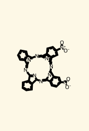 O=[N+]([O-])c1ccc2c(c1)C1=NC/2=N\C2N=C(/N=C3N=C(/N=c4\[nH]/c(c5cc([N+](=O)[O-])ccc45)=N\1)c1ccccc1\3)c1ccccc12